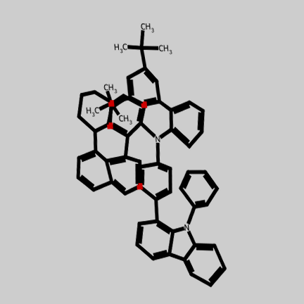 CC(C)(C)c1cc(-c2ccccc2N(c2ccc(-c3cccc4c5ccccc5n(-c5ccccc5)c34)cc2)c2ccccc2-c2cccc3cccc(C4CCCCC4)c23)cc(C(C)(C)C)c1